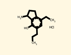 CCCc1cc(CC)c2c(c1O)C(N)CC2.Cl